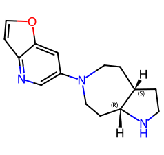 c1cc2ncc(N3CC[C@@H]4CCN[C@@H]4CC3)cc2o1